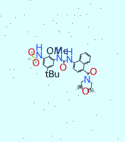 COc1c(NC(=O)Nc2ccc(C(=O)N3C[C@@H](C)O[C@@H](C)C3)c3ccccc23)cc(C(C)(C)C)cc1NS(C)(=O)=O